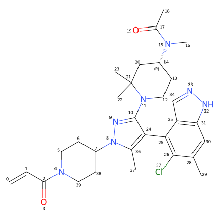 C=CC(=O)N1CCC(n2nc(N3CC[C@@H](N(C)C(C)=O)CC3(C)C)c(-c3c(Cl)c(C)cc4[nH]ncc34)c2C)CC1